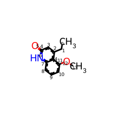 CCc1cc(=O)[nH]c2cccc(OC)c12